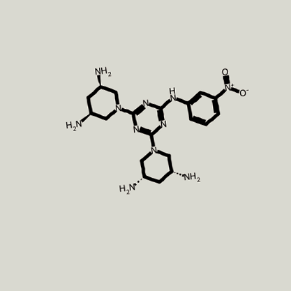 N[C@@H]1C[C@H](N)CN(c2nc(Nc3cccc([N+](=O)[O-])c3)nc(N3C[C@H](N)C[C@H](N)C3)n2)C1